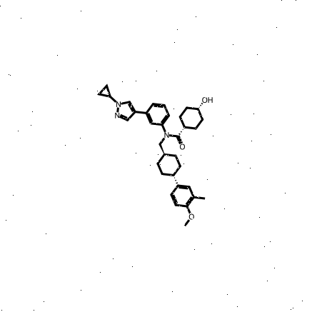 COc1ccc([C@H]2CC[C@H](CN(c3cccc(-c4cnn(C5CC5)c4)c3)C(=O)[C@H]3CC[C@@H](O)CC3)CC2)cc1C